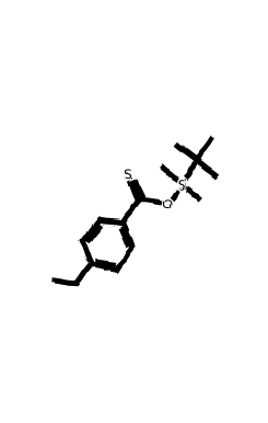 CCc1ccc(C(=S)O[Si](C)(C)C(C)(C)C)cc1